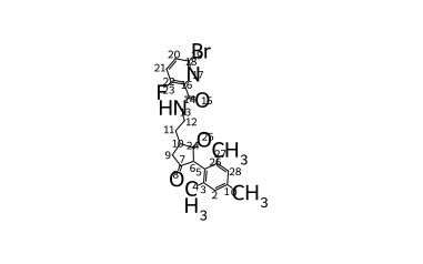 Cc1cc(C)c(C2C(=O)CC(CCNC(=O)c3nc(Br)ccc3F)C2=O)c(C)c1